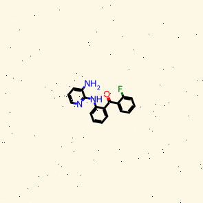 Nc1cccnc1Nc1ccccc1C(=O)c1ccccc1F